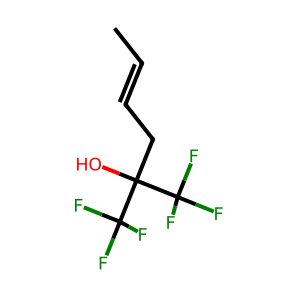 C/C=C/CC(O)(C(F)(F)F)C(F)(F)F